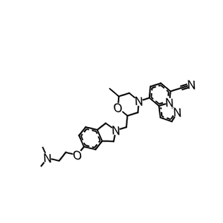 CC1CN(c2ccc(C#N)n3nccc23)CC(CN2Cc3ccc(OCCN(C)C)cc3C2)O1